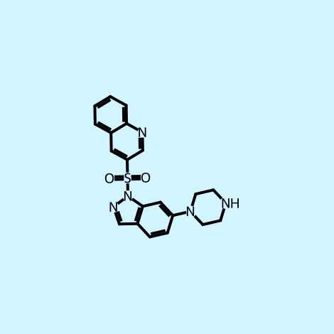 O=S(=O)(c1cnc2ccccc2c1)n1ncc2ccc(N3CCNCC3)cc21